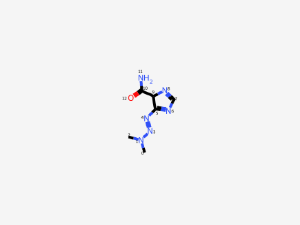 CN(C)N=NC1=NC=NC1C(N)=O